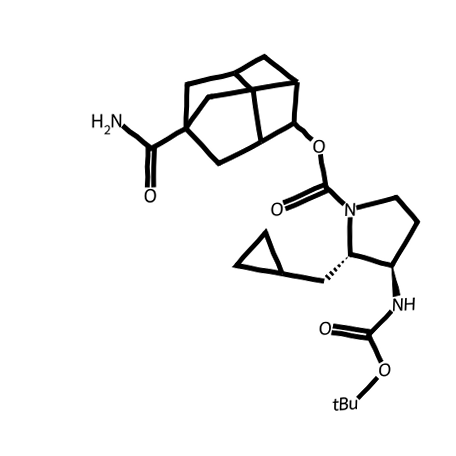 CC(C)(C)OC(=O)N[C@@H]1CCN(C(=O)OC2C3CC4CC2CC(C(N)=O)(C4)C3)[C@H]1CC1CC1